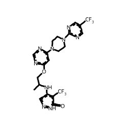 CC(COc1cc(N2CCN(c3ncc(C(F)(F)F)cn3)CC2)ncn1)Nc1cn[nH]c(=O)c1C(F)(F)F